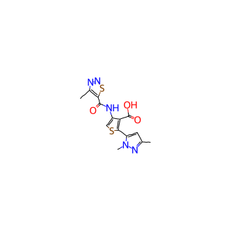 Cc1cc(-c2scc(NC(=O)c3snnc3C)c2C(=O)O)n(C)n1